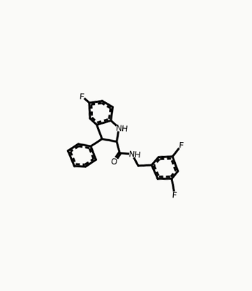 O=C(NCc1cc(F)cc(F)c1)C1Nc2ccc(F)cc2C1c1ccccc1